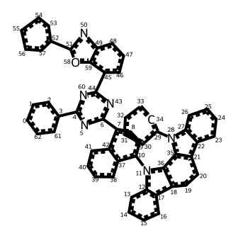 c1ccc(-c2nc(-c3ccc(-n4c5ccccc5c5ccc6c7ccccc7n(-c7ccccc7)c6c54)c4ccccc34)nc(-c3cccc4nc(-c5ccccc5)oc34)n2)cc1